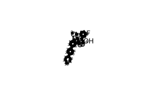 COCOc1ccc(F)cc1C(C(=O)O)n1cnc2ccc(-c3ccc(C4CCN(C)CC4)cc3)cc2c1=O